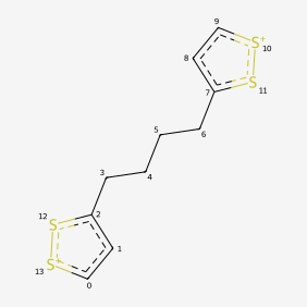 c1cc(CCCCc2cc[s+]s2)s[s+]1